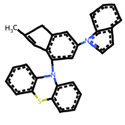 CC1=Cc2c(cc(-n3ccc4ccccc43)cc2N2c3ccccc3Sc3ccccc32)[CH]1